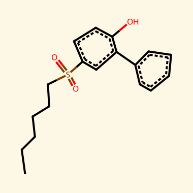 CCCCCCS(=O)(=O)c1ccc(O)c(-c2ccccc2)c1